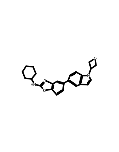 c1cc2c(ccn2C2COC2)cc1-c1ccc2oc(NC3CCCCC3)nc2c1